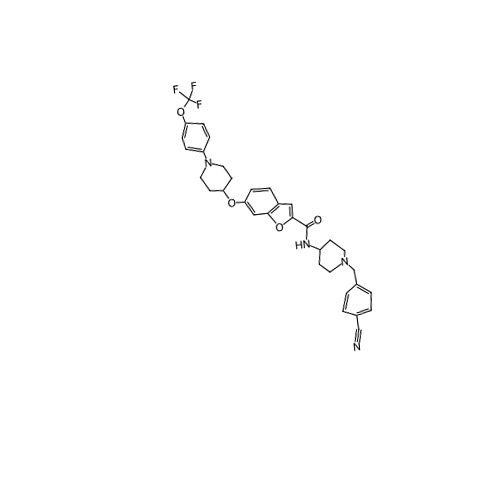 N#Cc1ccc(CN2CCC(NC(=O)c3cc4ccc(OC5CCN(c6ccc(OC(F)(F)F)cc6)CC5)cc4o3)CC2)cc1